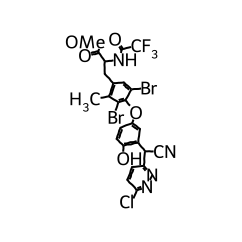 COC(=O)C(Cc1cc(Br)c(Oc2ccc(O)c(C(C#N)c3ccc(Cl)nn3)c2)c(Br)c1C)NC(=O)C(F)(F)F